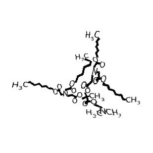 CCCCCCCCOC(=O)CN(CCC(=O)OCC(C)(COC(=O)CCN(CC(=O)OCCCCCCCC)CC(=O)OCCCCCCCC)C(=O)OCCN(C)C)CC(=O)OCCCCCCCC